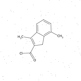 CC1=C(C(=O)Cl)Cc2c(C)cccc21